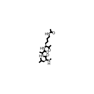 CN[C@@H](CC(C)C)C(=O)NC(C)C(=O)N[C@@H](CCCCNC(C)=O)C(C)=O